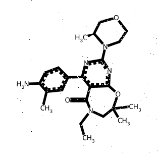 CCN1CC(C)(C)Oc2nc(N3CCOC[C@@H]3C)nc(-c3ccc(N)c(C)c3)c2C1=O